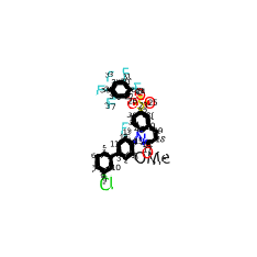 COc1cc(-c2cccc(Cl)c2)cc(F)c1-n1c(=O)ccc2cc(S(=O)(=O)Oc3c(F)c(F)c(F)c(F)c3F)ccc21